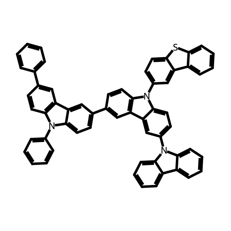 c1ccc(-c2ccc3c(c2)c2cc(-c4ccc5c(c4)c4cc(-n6c7ccccc7c7ccccc76)ccc4n5-c4ccc5sc6ccccc6c5c4)ccc2n3-c2ccccc2)cc1